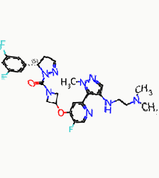 CN(C)CCNc1cnn(C)c1-c1cc(OC2CN(C(=O)N3N=CC[C@H]3c3cc(F)cc(F)c3)C2)c(F)cn1